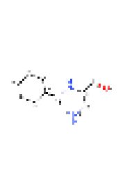 O=CC1CNC[C@@H](C2CCCCC2)N1